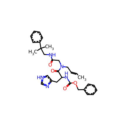 C/C=C/CN(CC(=O)NCC(C)(C)c1ccccc1)C(=O)C(Cc1c[nH]cn1)NC(=O)OCc1ccccc1